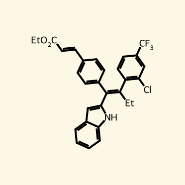 CCOC(=O)/C=C/c1ccc(/C(=C(/CC)c2ccc(C(F)(F)F)cc2Cl)c2cc3ccccc3[nH]2)cc1